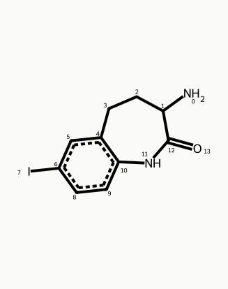 NC1CCc2cc(I)ccc2NC1=O